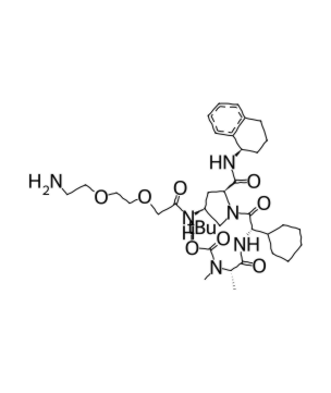 C[C@@H](C(=O)N[C@H](C(=O)N1C[C@@H](NC(=O)COCCOCCN)C[C@H]1C(=O)N[C@@H]1CCCc2ccccc21)C1CCCCC1)N(C)C(=O)OC(C)(C)C